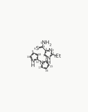 CCc1nc(C(N)=S)c[nH]1.c1c[nH]c(-n2cccc2)c1